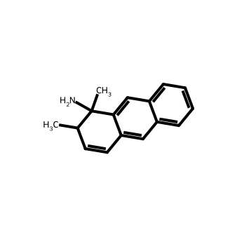 CC1C=Cc2cc3ccccc3cc2C1(C)N